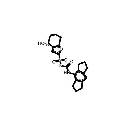 O=C(Nc1c2c(cc3c1CCC3)CCC2)NS(=O)(=O)c1cc2c(o1)CCC[C@@H]2O